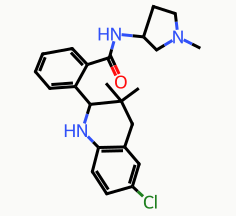 CN1CCC(NC(=O)c2ccccc2C2Nc3ccc(Cl)cc3CC2(C)C)C1